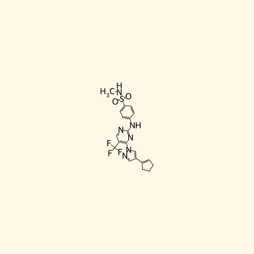 CNS(=O)(=O)c1ccc(Nc2ncc(C(F)(F)F)c(-n3cc(C4=CCCC4)cn3)n2)cc1